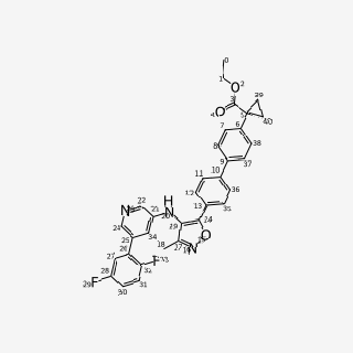 CCOC(=O)C1(c2ccc(-c3ccc(-c4onc(C)c4Nc4cncc(-c5cc(F)ccc5F)c4)cc3)cc2)CC1